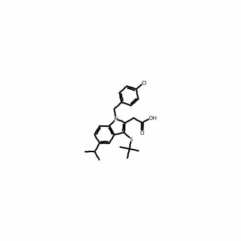 CC(C)c1ccc2c(c1)c(SC(C)(C)C)c(CC(=O)O)n2Cc1ccc(Cl)cc1